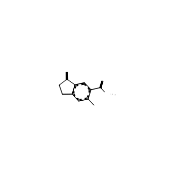 COC(=O)c1cc2c(cc1I)CCC2=O